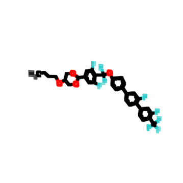 CCCCOC1COC(c2cc(F)c(C(F)(F)Oc3ccc(-c4ccc(-c5ccc(C(F)(F)F)c(F)c5)c(F)c4)cc3)c(F)c2)OC1